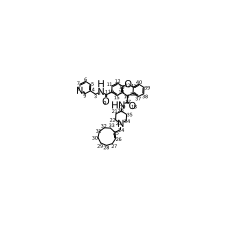 O=C(NCc1cccnc1)c1ccc2c(c1)C(C(=O)NC1CCN(C/C3=C/CCCCCCC3)CC1)c1ccccc1O2